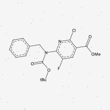 COC(=O)c1cc(F)c(N(Cc2ccccc2)C(=O)OC(C)(C)C)nc1Cl